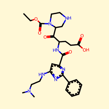 CCOC(=O)N1CCNCC1C(=O)C(CCC(=O)O)NC(=O)c1cc(NCCN(C)C)nc(-c2ccccc2)n1